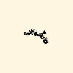 C[C@@H](C(=O)NC1CC(C#Cc2cnc(Nc3cccc(F)c3)nc2NC2CC2)C1)N(C)C(=O)/C=C/CN(C)C